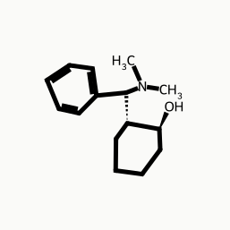 CN(C)C(c1ccccc1)[C@H]1CCCC[C@@H]1O